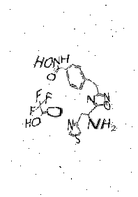 N[C@@H](Cc1cscn1)c1nc(Cc2ccc(C(=O)NO)cc2)no1.O=C(O)C(F)(F)F